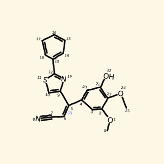 COc1cc(/C(=C/C#N)c2csc(-c3ccccc3)n2)cc(O)c1OC